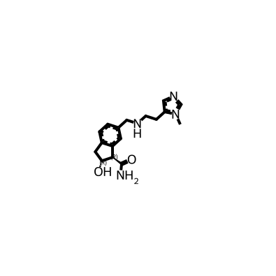 Cn1cncc1CCNCc1ccc2c(c1)[C@@H](C(N)=O)[C@H](O)C2